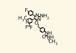 CCNC(=O)Nc1ccc(CCOc2nc(N)nc(-c3ccc(F)cc3)c2-c2cc(C)nc(C(F)F)c2)cc1